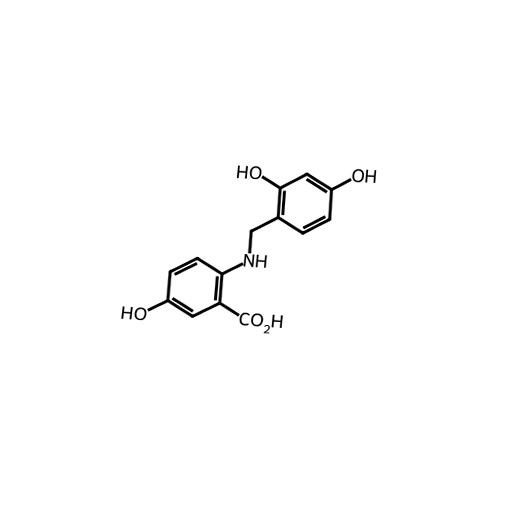 O=C(O)c1cc(O)ccc1NCc1ccc(O)cc1O